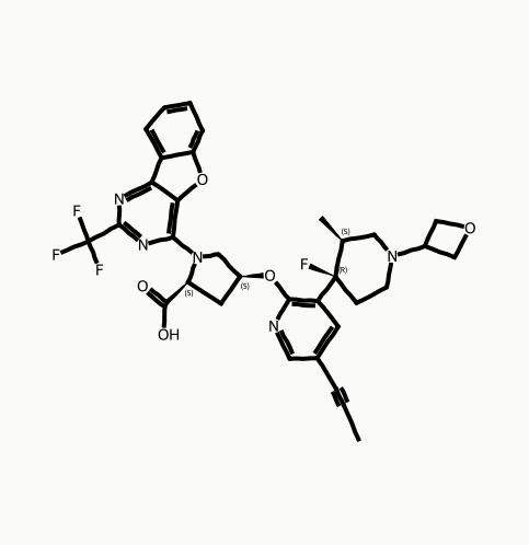 CC#Cc1cnc(O[C@H]2C[C@@H](C(=O)O)N(c3nc(C(F)(F)F)nc4c3oc3ccccc34)C2)c([C@@]2(F)CCN(C3COC3)C[C@@H]2C)c1